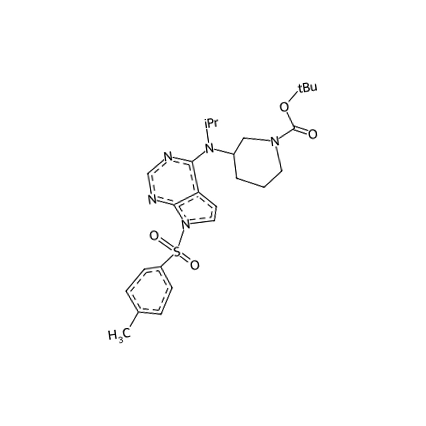 Cc1ccc(S(=O)(=O)n2ccc3c(N(C(C)C)C4CCCN(C(=O)OC(C)(C)C)C4)ncnc32)cc1